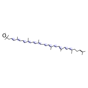 COC(C)(C)C/C=C/C(C)=C/C=C/C(C)=C/C=C/C(C)=C/C=C/C=C(C)/C=C/C=C(C)/C=C/C=C(\C)CCC=C(C)C